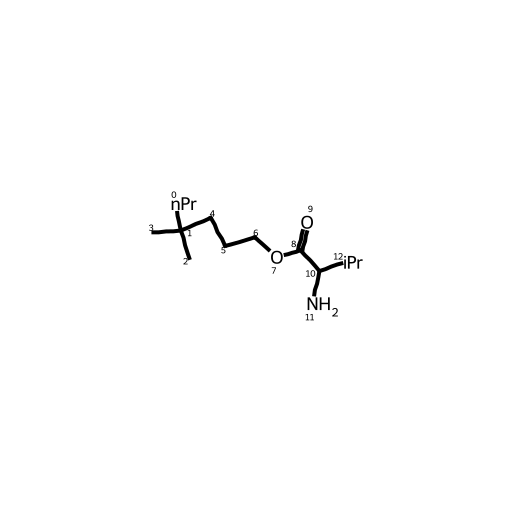 CCCC(C)(C)CCCOC(=O)C(N)C(C)C